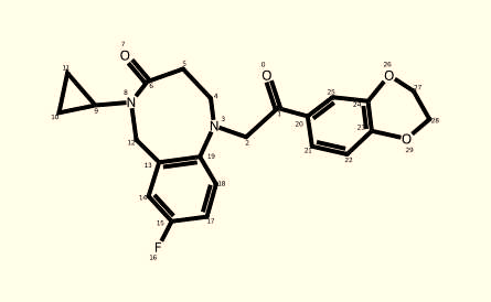 O=C(CN1CCC(=O)N(C2CC2)Cc2cc(F)ccc21)c1ccc2c(c1)OCCO2